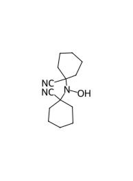 N#CC1(N(O)C2(C#N)CCCCC2)CCCCC1